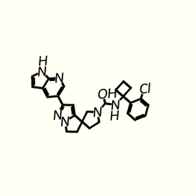 OC(NC1(c2ccccc2Cl)CCC1)N1CCC2(CCn3nc(-c4cnc5[nH]ccc5c4)cc32)C1